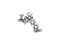 CCc1c(C)nc(-c2ccc(-c3ccc4[nH]ccc4c3)cc2)n(CC2CCN(C(=O)C3CC3)C2)c1=O